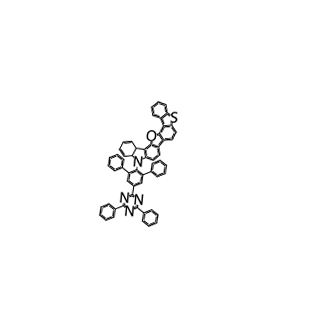 C1=CC2c3c(ccc4c3oc3c4ccc4sc5ccccc5c43)N(c3c(-c4ccccc4)cc(-c4nc(-c5ccccc5)nc(-c5ccccc5)n4)cc3-c3ccccc3)C2C=C1